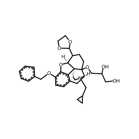 OCC(O)COC12CCC(C3OCCO3)[C@@H]3Oc4c(OCc5ccccc5)ccc5c4[C@@]31CCN(CC1CC1)[C@@H]2C5